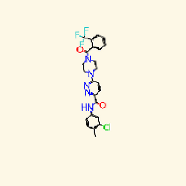 Cc1ccc(NC(=O)c2ccc(N3CCN(C(=O)c4ccccc4C(F)(F)F)CC3)nn2)cc1Cl